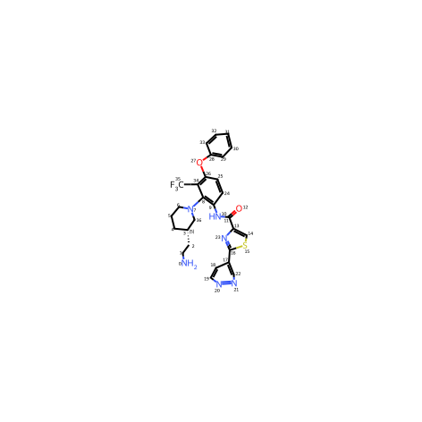 NCC[C@@H]1CCCN(c2c(NC(=O)c3csc(-c4ccnnc4)n3)ccc(Oc3ccccc3)c2C(F)(F)F)C1